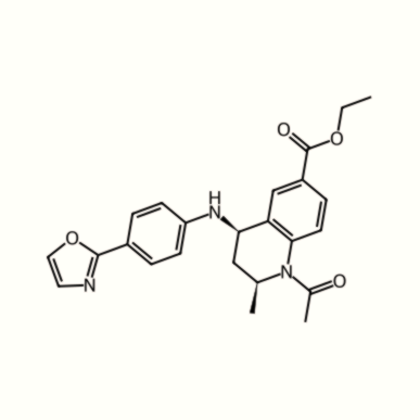 CCOC(=O)c1ccc2c(c1)[C@H](Nc1ccc(-c3ncco3)cc1)C[C@H](C)N2C(C)=O